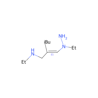 CCNC/C(=C/N(N)CC)C(C)CC